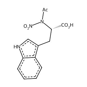 CC(=O)N([C@@H](Cc1c[nH]c2ccccc12)C(=O)O)[N+](=O)[O-]